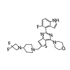 Fc1ccc2[nH]ccc2c1-c1nc(N2CCOCC2)c2sc(CN3CCC(N4CC(F)(F)C4)CC3)cc2n1